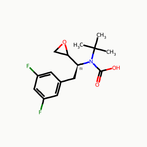 CC(C)(C)N(C(=O)O)[C@@H](Cc1cc(F)cc(F)c1)C1CO1